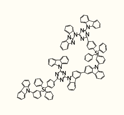 c1ccc([Si](c2ccccc2)(c2ccc(-c3nc(-n4c5ccccc5c5ccccc54)nc(-n4c5ccccc5c5cc(-c6ccc7c(c6)c6ccccc6n7-c6cccc([Si](c7ccccc7)(c7ccccc7)c7ccc(-c8nc(-n9c%10ccccc%10c%10ccccc%109)nc(-n9c%10ccccc%10n%10c%11ccccc%11nc9%10)n8)cc7)c6)ccc54)n3)cc2)c2cccc(-n3c4ccccc4c4ccccc43)c2)cc1